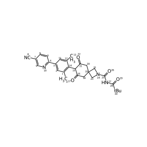 Cc1cc(-c2ccc(C#N)cn2)cc(C)c1C1C(=O)CC2(CC1=O)CN(C(=O)NC(=O)C(C)(C)C)C2